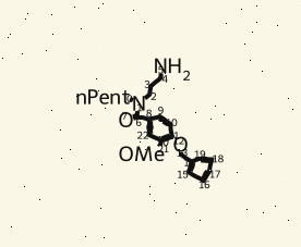 CCCCCN(CCCN)C(=O)c1ccc(OCc2ccccc2)c(OC)c1